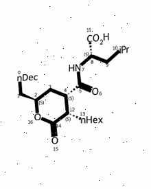 CCCCCCCCCCC[C@H]1C[C@H](C(=O)N[C@@H](CC(C)C)C(=O)O)[C@H](CCCCCC)C(=O)O1